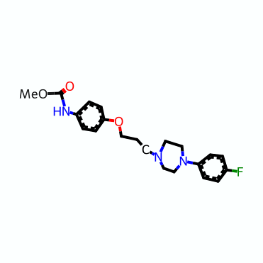 COC(=O)Nc1ccc(OCCCN2CCN(c3ccc(F)cc3)CC2)cc1